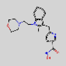 Cc1c(Cc2ccc(C(=O)NO)cn2)c2ccccc2n1CCN1CCOCC1